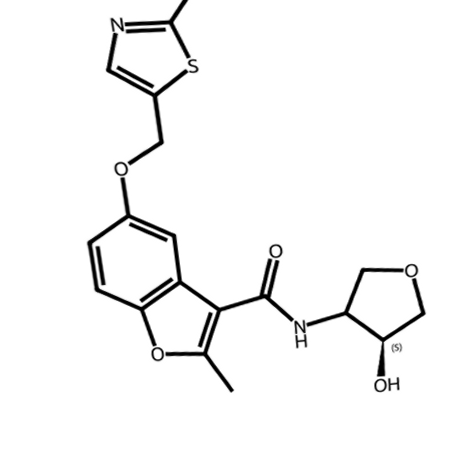 Cc1ncc(COc2ccc3oc(C)c(C(=O)NC4COC[C@H]4O)c3c2)s1